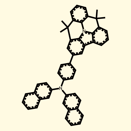 CC1(C)c2cccc3c2-n2c4c1cccc4c1cc(-c4ccc(N(c5ccc6ccccc6c5)c5ccc6ccccc6c5)cc4)cc(c12)C3(C)C